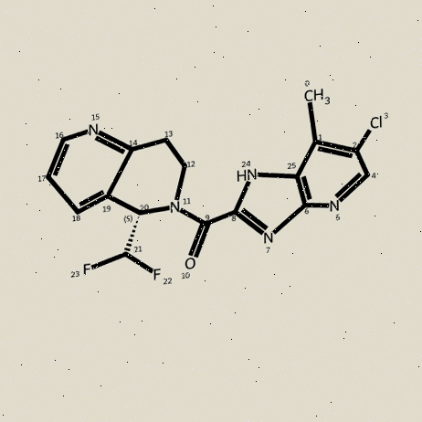 Cc1c(Cl)cnc2nc(C(=O)N3CCc4ncccc4[C@H]3C(F)F)[nH]c12